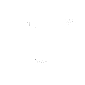 CN[C@@H](CCSC)C(N)=O